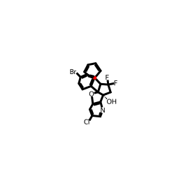 O[C@@]12CC(F)(F)C(c3ccccc3)C1(c1ccc(Br)cc1)Oc1cc(Cl)cnc12